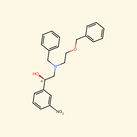 O=[N+]([O-])c1cccc([C@@H](O)CN(CCOCc2ccccc2)Cc2ccccc2)c1